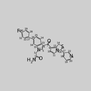 NC(=O)Cn1cc(C(=O)c2ccn3c2CSC3c2cccnc2)c2ccc(-c3ccc(F)cc3)cc21